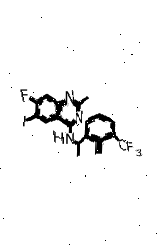 Cc1nc(NC(C)c2cccc(C(F)(F)F)c2C)c2cc(I)c(F)cc2n1